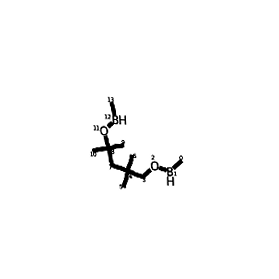 CBOCC(C)(C)CC(C)(C)OBC